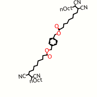 CCCCCCCCC(C#N)C(C#N)CCCCCCCC(=O)OCc1ccc(COC(=O)CCCCCCCC(C#N)C(C#N)CCCCCCCC)cc1